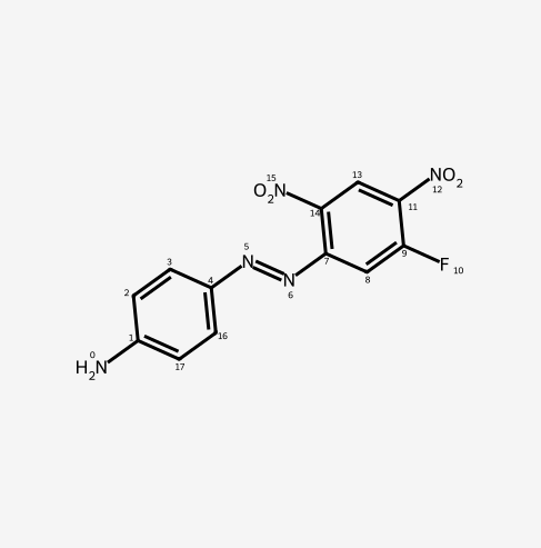 Nc1ccc(N=Nc2cc(F)c([N+](=O)[O-])cc2[N+](=O)[O-])cc1